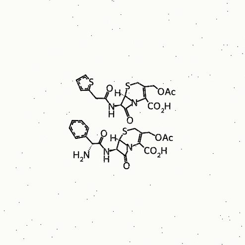 CC(=O)OCC1=C(C(=O)O)N2C(=O)[C@@H](NC(=O)Cc3cccs3)[C@H]2SC1.CC(=O)OCC1=C(C(=O)O)N2C(=O)[C@@H](NC(=O)[C@H](N)c3ccccc3)[C@H]2SC1